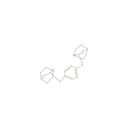 c1cc(CC2CC3CCN2CC3)ccc1CC1CC2CCN1CC2